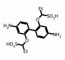 CCC(Oc1cc(N)ccc1-c1ccc(N)cc1OC(CC)S(=O)(=O)O)S(=O)(=O)O